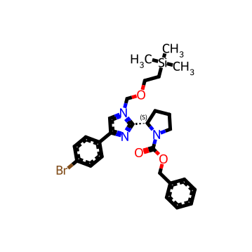 C[Si](C)(C)CCOCn1cc(-c2ccc(Br)cc2)nc1[C@@H]1CCCN1C(=O)OCc1ccccc1